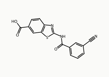 N#Cc1cccc(C(=O)Nc2nc3ccc(C(=O)O)cc3s2)c1